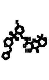 C=C1C(O)=C(C(=O)NCc2ccc(F)cc2S(=O)(=O)N2CCOC(CN3CCCC3)C2)N=C2N1CCOC2(C)C